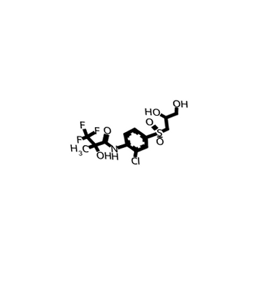 CC(O)(C(=O)Nc1ccc(S(=O)(=O)CC(O)CO)cc1Cl)C(F)(F)F